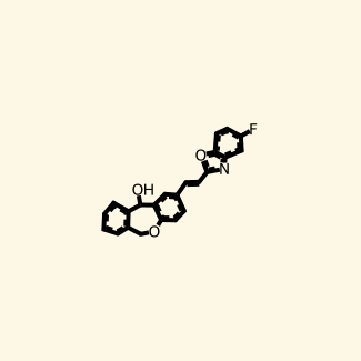 OC1c2ccccc2COc2ccc(C=Cc3nc4cc(F)ccc4o3)cc21